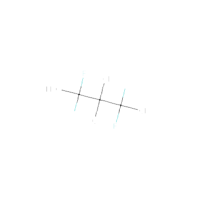 CC(F)(F)C(C(C)(F)F)(C(F)(F)F)C(F)(F)F